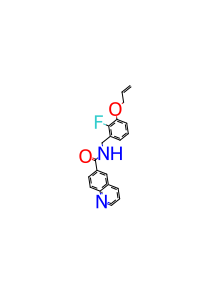 C=CCOc1cccc(CNC(=O)c2ccc3ncccc3c2)c1F